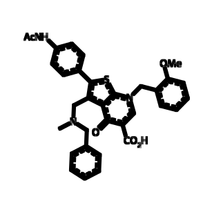 COc1ccccc1Cn1cc(C(=O)O)c(=O)c2c(CN(C)Cc3ccccc3)c(-c3ccc(NC(C)=O)cc3)sc21